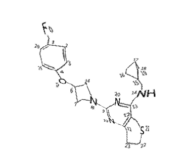 Fc1ccc(OC2CN(c3nc4c(c(NC56CC(C5)C6)n3)SCC4)C2)cc1